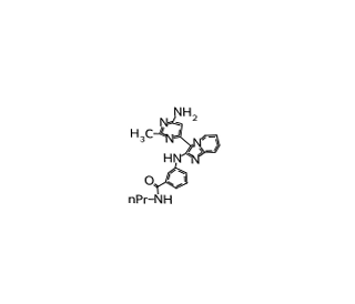 CCCNC(=O)c1cccc(Nc2nc3ccccn3c2-c2cc(N)nc(C)n2)c1